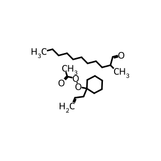 C=CCC1(OOC(C)=O)CCCCC1.CCCCCCCCCC(C)C=O